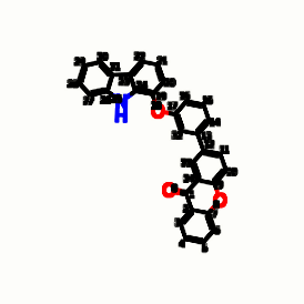 O=c1c2ccccc2oc2ccc(-c3cccc(Oc4cccc5c4[nH]c4ccccc45)c3)cc12